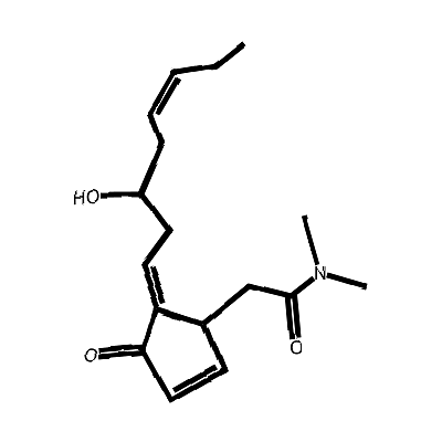 CC/C=C\CC(O)C/C=C1/C(=O)C=CC1CC(=O)N(C)C